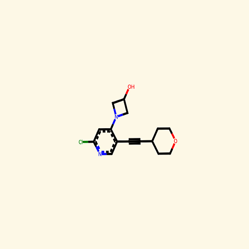 OC1CN(c2cc(Cl)ncc2C#CC2CCOCC2)C1